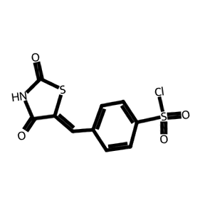 O=C1NC(=O)C(=Cc2ccc(S(=O)(=O)Cl)cc2)S1